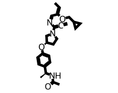 C=C=C(/N=C\C(=C/C)OCC1CC1)N1CC[C@@H](Oc2ccc([C@H](C)NC(C)=O)cc2)C1